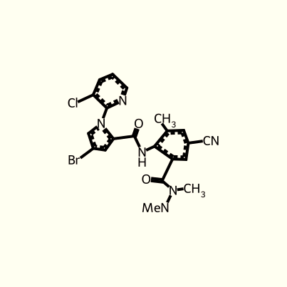 CNN(C)C(=O)c1cc(C#N)cc(C)c1NC(=O)c1cc(Br)cn1-c1ncccc1Cl